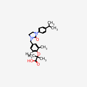 Cc1cc(CN2CCN(c3ccc(C(C)C)cc3)C2=O)cc(C)c1OC(C)(C)C(=O)O